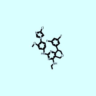 CCNc1nc(Nc2ccc(-n3cnc(Cl)c3)c(OC)c2)nc2c1COCC2c1cc(F)cc(F)c1